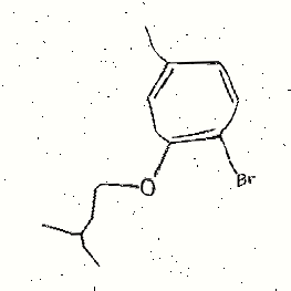 Cc1ccc(Br)c(OCC(C)C)c1